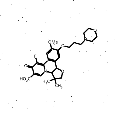 COc1cc2c(cc1OCCCN1CCOCC1)C1OCC(C)(C)C1n1cc(C(=O)O)c(=O)c(F)c1-2